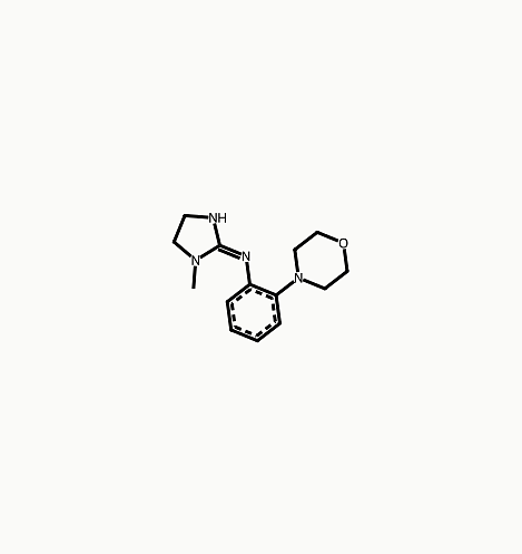 CN1CCN/C1=N/c1ccccc1N1CCOCC1